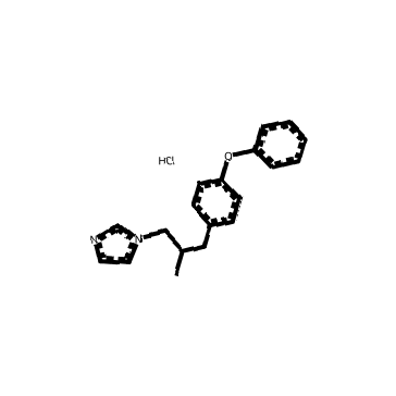 CC(Cc1ccc(Oc2ccccc2)cc1)Cn1ccnc1.Cl